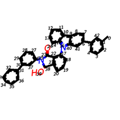 Cc1cccc(-c2ccc3c4ccccc4n(-c4cccc5c4C(=O)N(c4cccc(-c6ccccc6)c4)C5O)c3c2)c1